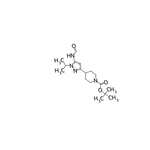 CC(C)n1nc(C2CCN(C(=O)OC(C)(C)C)CC2)cc1NC=O